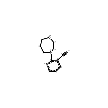 N#Cc1cccnc1N1CCCOCC1